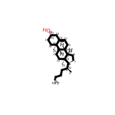 CC(C)CCC[C@H](C)[C@H]1CC[C@@H]2[C@@H]3CC=C4C[C@@H](O)CC[C@]4(C)[C@@H]3CC[C@@]21C